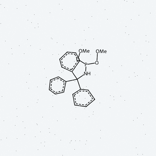 COOP(NC(c1ccccc1)(c1ccccc1)c1ccccc1)OOC